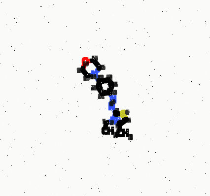 CC[n+]1c(C)csc1/N=N/c1ccc(N2CCOCC2)cc1